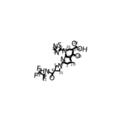 Cc1cc(N2CC(C(=O)NC(F)C(F)F)C2)nc2c1c(=O)c(C(=O)O)cn2-c1ncns1